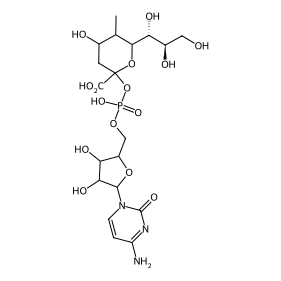 CC1C(O)CC(OP(=O)(O)OCC2OC(n3ccc(N)nc3=O)C(O)C2O)(C(=O)O)OC1[C@H](O)[C@H](O)CO